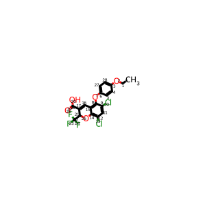 CCOc1ccc(Oc2c(Cl)cc(Cl)c3c2C=C(C(=O)O)C(C(F)(F)F)O3)cc1